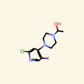 CC(O)N1CCN(c2cc(Cl)ncc2I)CC1